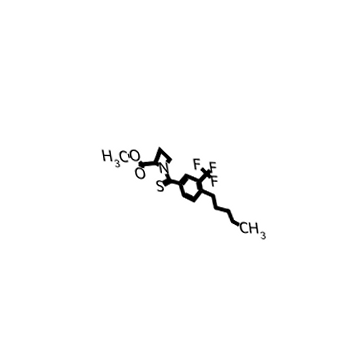 CCCCCc1ccc(C(=S)N2CCC2C(=O)OC)cc1C(F)(F)F